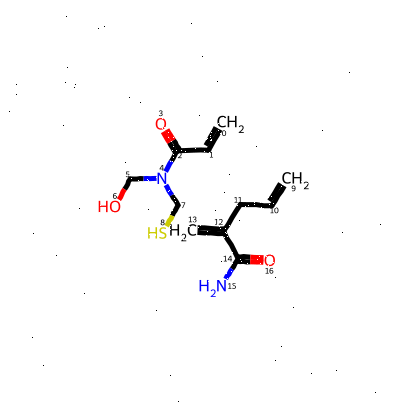 C=CC(=O)N(CO)CS.C=CCC(=C)C(N)=O